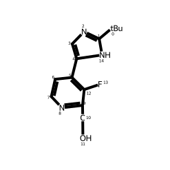 CC(C)(C)c1ncc(-c2ccnc(CO)c2F)[nH]1